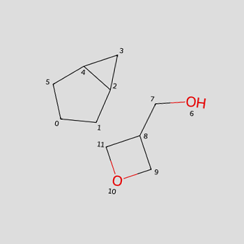 C1CC2CC2C1.OCC1COC1